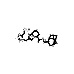 O=C(O)Cc1nnnn1Cc1cn2c(C(=O)NCC34CC5CC6CC(C3)C6(C5)C4)cccc2n1